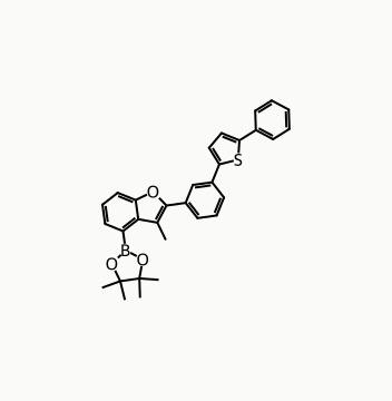 Cc1c(-c2cccc(-c3ccc(-c4ccccc4)s3)c2)oc2cccc(B3OC(C)(C)C(C)(C)O3)c12